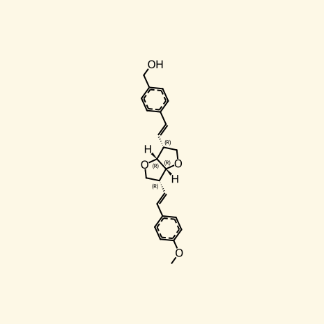 COc1ccc(C=C[C@@H]2CO[C@H]3[C@@H]2OC[C@H]3C=Cc2ccc(CO)cc2)cc1